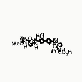 COC(=O)N[C@H](C(=O)N1CCCC1c1ncc(-c2ccc(-c3ccc(-c4cnc([C@@H]5CCCN5C(=O)[C@@H](NC(=O)O)C(C)C)[nH]4)cc3)cc2)[nH]1)C(C)C.Cl.Cl